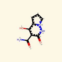 NC(=O)c1c(O)c2cccn2[nH]c1=O